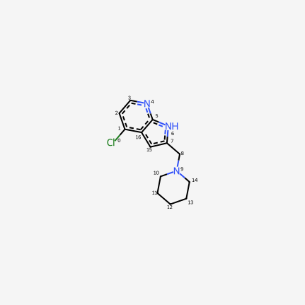 Clc1ccnc2[nH]c(CN3CCCCC3)cc12